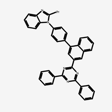 CC(C)c1nc2ccccc2n1-c1ccc(-c2cc(-c3nc(-c4ccccc4)nc(-c4ccccc4)n3)cc3ccccc23)cc1